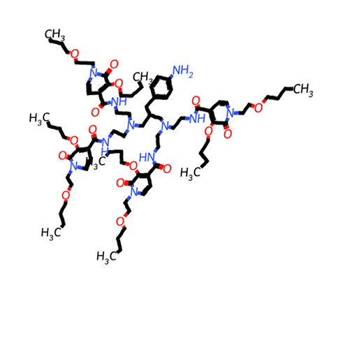 CCCCOCCn1ccc(C(=O)NCCN(CCNC(=O)c2ccn(CCOCCCC)c(=O)c2OCCCC)CC(Cc2ccc(N)cc2)CN(CCNC(=O)c2ccn(CCOCCCC)c(=O)c2OCCCC)CCNC(=O)c2ccn(CCOCCCC)c(=O)c2OCCCC)c(OCCCC)c1=O